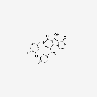 CN1CCN(C(=O)c2cn(Cc3ccc(F)c(Cl)c3)c(=O)c3c(O)c4n(c23)CCN(C)C4=O)CC1